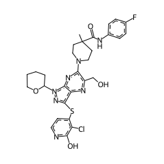 CC1(C(=O)Nc2ccc(F)cc2)CCN(c2nc3c(nc2CO)c(Sc2ccnc(O)c2Cl)nn3C2CCCCO2)CC1